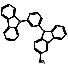 O=[N+]([O-])c1ccc2c(c1)c1ccccc1n2-c1cccc(-n2c3ccccc3c3ccccc32)c1